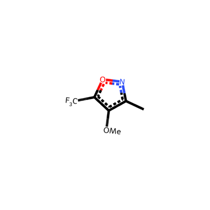 COc1c(C)noc1C(F)(F)F